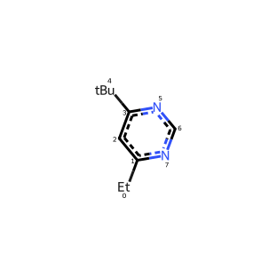 CCc1cc(C(C)(C)C)ncn1